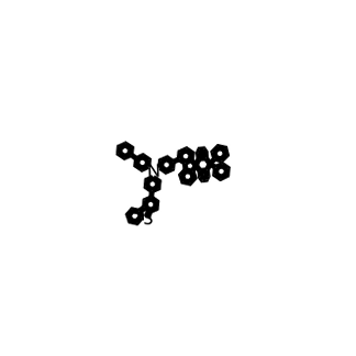 c1ccc(-c2ccc(N(c3ccc(-c4ccc5sc6ccccc6c5c4)cc3)c3ccc(-c4cccc5c4-c4ccccc4C54c5ccccc5C(c5ccccc5)(c5ccccc5)c5ccccc54)cc3)cc2)cc1